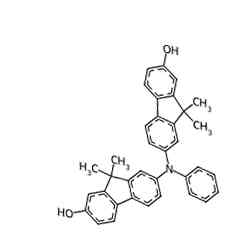 CC1(C)c2cc(O)ccc2-c2ccc(N(c3ccccc3)c3ccc4c(c3)C(C)(C)c3cc(O)ccc3-4)cc21